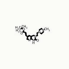 CN1CCN(CCN2Cc3cc(C=CC(=O)OC(C)(C)C)cnc3NC2=O)CC1